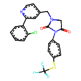 O=C1CN(Cc2ccnc(-c3ccccc3Cl)c2)C(=O)N1c1ccc(SC(F)(F)F)cc1